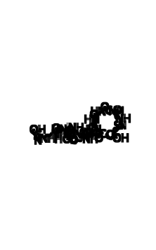 C[C@@H]1NC(=O)CNC(=O)CNc2ncc(s2)Cc2cc(ccc2O)C[C@@H](C(=O)NCC(=O)N[C@@H](Cc2ccc(O)cc2)C(=O)NCC(=O)N[C@@H](C)C(=O)NCC(=O)NCCCNc2ncc(CO)s2)NC(=O)CNC1=O